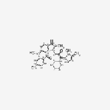 COc1ccc2[nH]c(C)c(CC(=O)N(C3CCCCC3)C3SC=C(C)N3C)c2c1C(=O)c1ccc(Cl)cc1